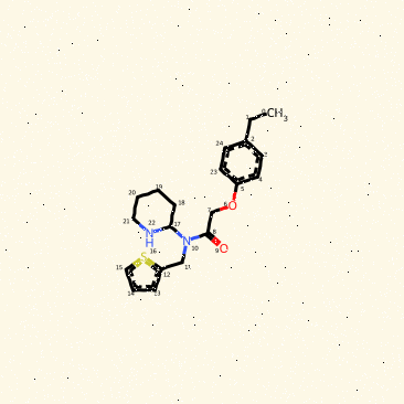 CCc1ccc(OCC(=O)N(Cc2cccs2)C2CCCCN2)cc1